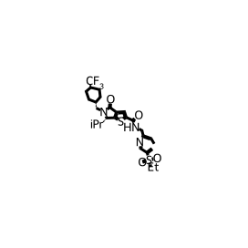 C=C(/C=N\C(=C/C)CNC(=O)c1cc2c(s1)[C@H](C(C)C)N(C[C@H]1CC[C@H](C(F)(F)F)CC1)C2=O)S(=O)(=O)CC